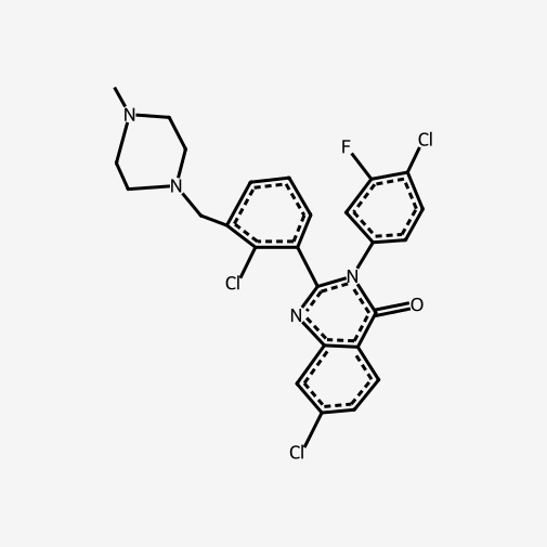 CN1CCN(Cc2cccc(-c3nc4cc(Cl)ccc4c(=O)n3-c3ccc(Cl)c(F)c3)c2Cl)CC1